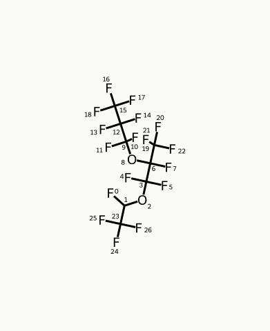 FC(OC(F)(F)C(F)(OC(F)(F)C(F)(F)C(F)(F)F)C(F)(F)F)C(F)(F)F